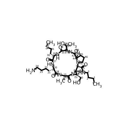 CCCCNC(=O)[C@H]1[C@@H]2[C@@H](CO)N2C(=O)[C@H](C)NC(=O)[C@H](CCCCN)NC(=O)[C@H](CCSC)NC(=O)[C@H]([C@@H](C)O)NC(=O)[C@@H]2CCCN21